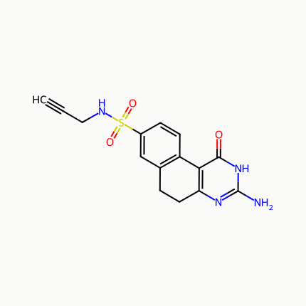 C#CCNS(=O)(=O)c1ccc2c(c1)CCc1nc(N)[nH]c(=O)c1-2